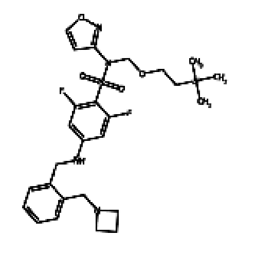 C[Si](C)(C)CCOCN(c1ccon1)S(=O)(=O)c1c(F)cc(NCc2ccccc2CN2CCC2)cc1F